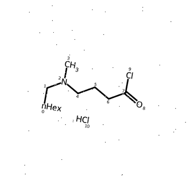 CCCCCCCN(C)CCCC(=O)Cl.Cl